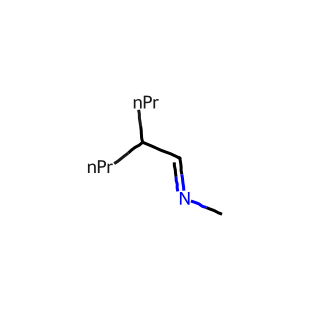 CCCC(C=NC)CCC